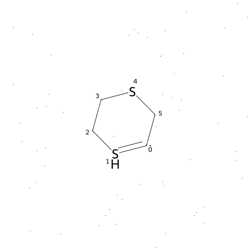 [C]1=[SH]CCSC1